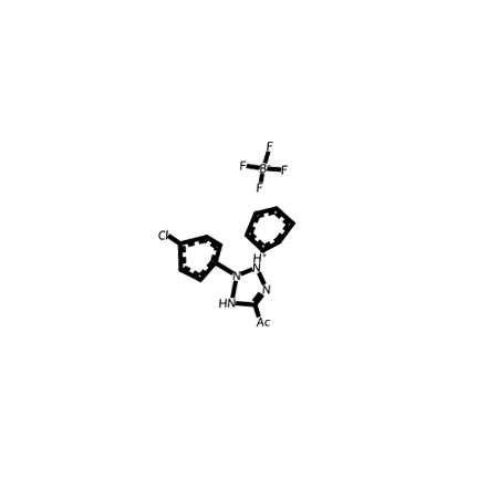 CC(=O)C1=N[NH+](c2ccccc2)N(c2ccc(Cl)cc2)N1.F[B-](F)(F)F